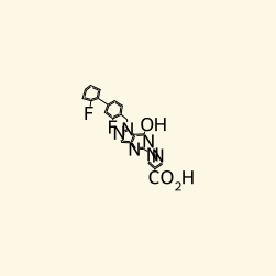 O=C(O)c1cnn(-c2nc(O)c3c(cnn3Cc3ccc(-c4ccccc4F)cc3F)n2)c1